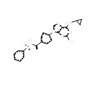 O=C(NS(=O)(=O)c1ccccc1)c1ccc(-n2cnc3c(NC4CC4)nc(C(F)(F)F)nc32)cc1